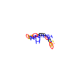 O=C(CN1CC[S+]([O-])CC1)Nc1ccc2cc3ccc(NC(=O)CN4CC[S+]([O-])CC4)cc3nc2c1